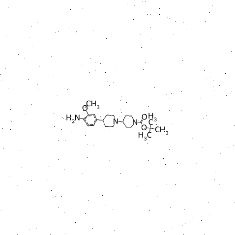 COc1cc(C2CCN(C3CCN(C(=O)OC(C)(C)C)CC3)CC2)ccc1N